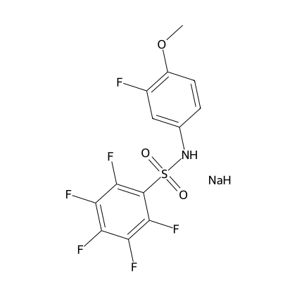 COc1ccc(NS(=O)(=O)c2c(F)c(F)c(F)c(F)c2F)cc1F.[NaH]